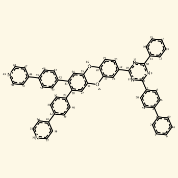 c1ccc(-c2ccc(-c3nc(-c4ccccc4)nc(-c4ccc5c(c4)Oc4cc(-c6ccc(-c7ccncc7)cc6)c(-c6ccc(-c7ccncc7)cc6)cc4O5)n3)cc2)cc1